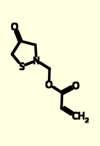 C=CC(=O)OCN1CC(=O)CS1